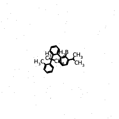 Bc1c(-c2ccccc2C(C)(C)c2ccccc2C)cccc1C(C)C